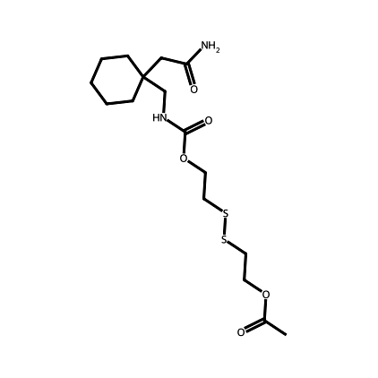 CC(=O)OCCSSCCOC(=O)NCC1(CC(N)=O)CCCCC1